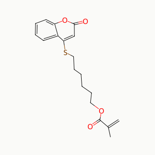 C=C(C)C(=O)OCCCCCCSc1cc(=O)oc2ccccc12